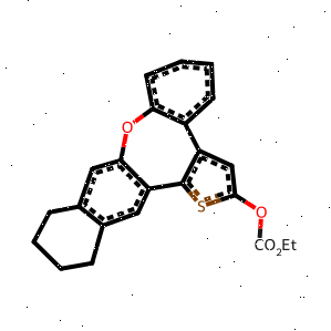 CCOC(=O)Oc1cc2c(s1)-c1cc3c(cc1Oc1ccccc1-2)CCCC3